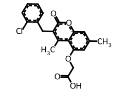 Cc1cc(OCC(=O)O)c2c(C)c(Cc3ccccc3Cl)c(=O)oc2c1